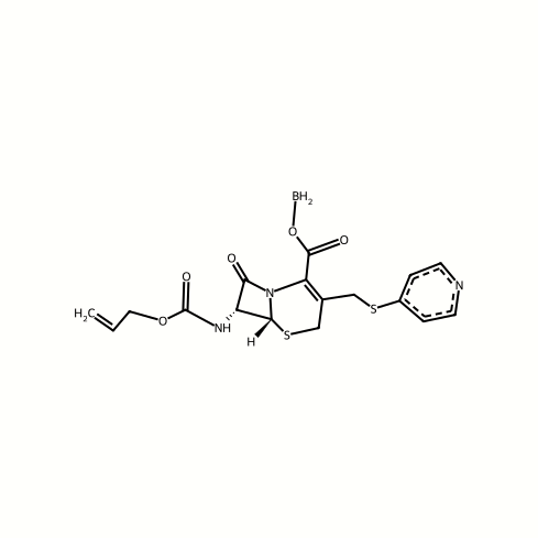 BOC(=O)C1=C(CSc2ccncc2)CS[C@@H]2[C@H](NC(=O)OCC=C)C(=O)N12